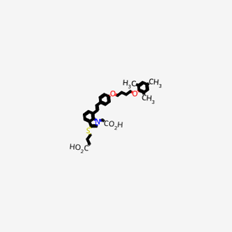 Cc1cc(C)c(OCCCCOc2ccc(C=Cc3cccc4c(SCCCC(=O)O)cn(CC(=O)O)c34)cc2)c(C)c1